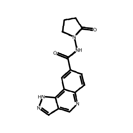 O=C(NN1CCCC1=O)c1ccc2ncc3cn[nH]c3c2c1